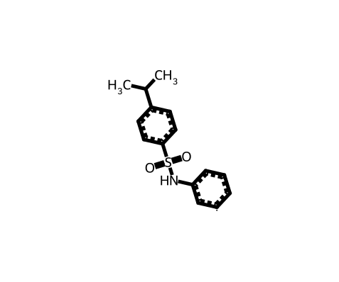 CC(C)c1ccc(S(=O)(=O)Nc2c[c]ccc2)cc1